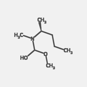 CCC[C@H](C)N(C)C(O)OC